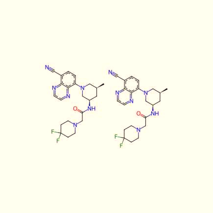 C[C@H]1C[C@@H](NC(=O)CN2CCC(F)(F)CC2)CN(c2ccc(C#N)c3nccnc23)C1.C[C@H]1C[C@@H](NC(=O)CN2CCC(F)(F)CC2)CN(c2ccc(C#N)c3nccnc23)C1